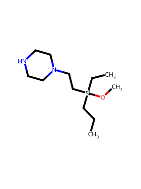 CCC[Si](CC)(CCN1CCNCC1)OC